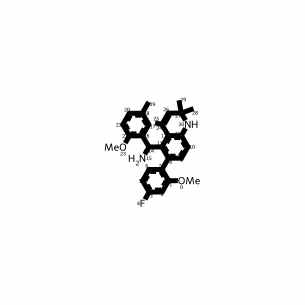 COc1cc(F)ccc1-c1ccc2c(c1C(N)c1cc(C)ccc1OC)C(C)=CC(C)(C)N2